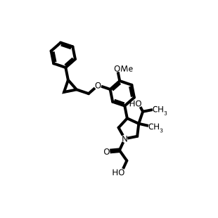 COc1ccc(C2CN(C(=O)CO)CC2(C)C(C)O)cc1OCC1CC1c1ccccc1